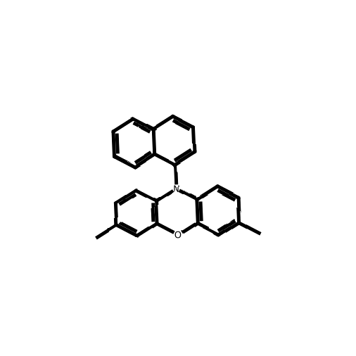 Cc1ccc2c(c1)Oc1cc(C)ccc1N2c1cccc2ccccc12